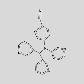 N#Cc1ccc(N(c2cccnc2)C(c2cccnc2)c2cccnc2)cc1